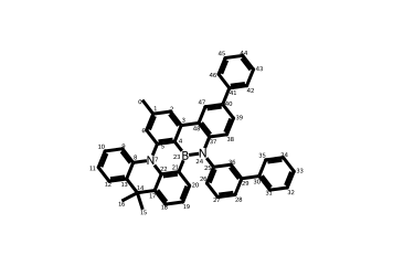 Cc1cc2c3c(c1)N1c4ccccc4C(C)(C)c4cccc(c41)B3N(c1cccc(-c3ccccc3)c1)c1ccc(-c3ccccc3)cc1-2